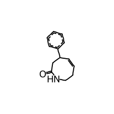 O=C1CC(c2ccccc2)/C=C\CCN1